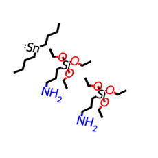 CCC[CH2][Sn][CH2]CCC.CCO[Si](CCCN)(OCC)OCC.CCO[Si](CCCN)(OCC)OCC